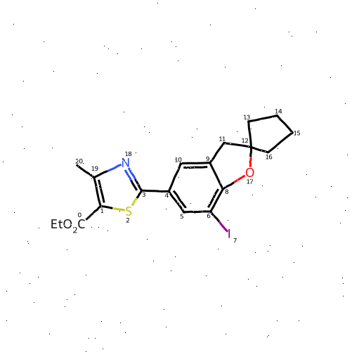 CCOC(=O)c1sc(-c2cc(I)c3c(c2)CC2(CCCC2)O3)nc1C